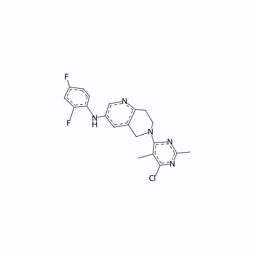 Cc1nc(Cl)c(C)c(N2CCc3ncc(Nc4ccc(F)cc4F)cc3C2)n1